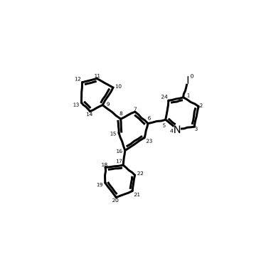 Ic1ccnc(-c2cc(-c3ccccc3)cc(-c3ccccc3)c2)c1